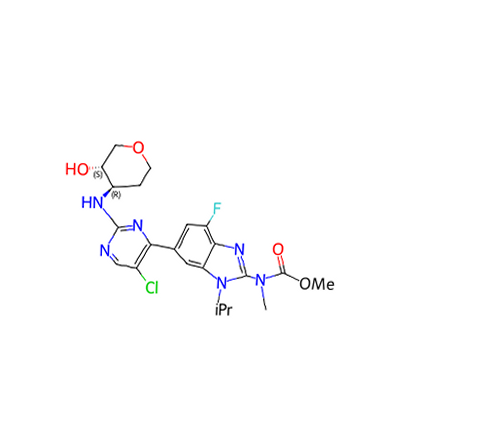 COC(=O)N(C)c1nc2c(F)cc(-c3nc(N[C@@H]4CCOC[C@H]4O)ncc3Cl)cc2n1C(C)C